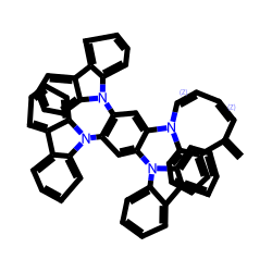 C=C1/C=C\C=C/N(c2cc(-n3c4ccccc4c4ccccc43)c(-n3c4ccccc4c4ccccc43)cc2-n2c3ccccc3c3ccccc32)c2ccccc21